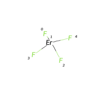 [F][Er]([F])([F])[F]